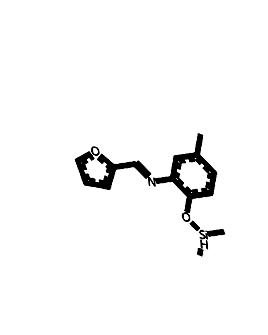 Cc1ccc(O[SiH](C)C)c(N=Cc2ccco2)c1